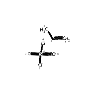 C=CC.O=S(=O)(Cl)Cl